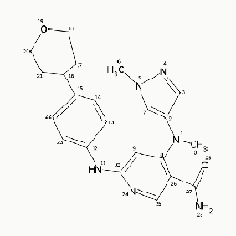 CN(c1cnn(C)c1)c1cc(Nc2ccc(C3CCOCC3)cc2)ncc1C(N)=O